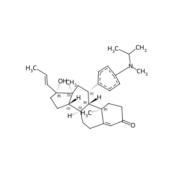 CC=C[C@]1(O)CC[C@H]2[C@@H]3CCC4=CC(=O)CC[C@]4(C)[C@H]3[C@@H](c3ccc(N(C)C(C)C)cc3)C[C@@]21C